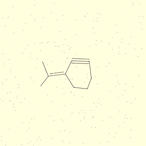 CC(C)=C1C#CCCC1